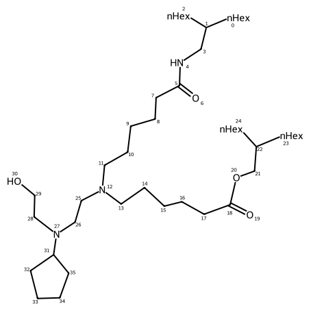 CCCCCCC(CCCCCC)CNC(=O)CCCCCN(CCCCCC(=O)OCC(CCCCCC)CCCCCC)CCN(CCO)C1CCCC1